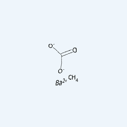 C.O=C([O-])[O-].[Ba+2]